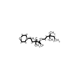 CCC(C)(C)CCOC(=O)C(C)(C)CCN1CCOCC1